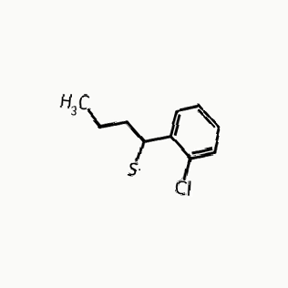 CCCC([S])c1ccccc1Cl